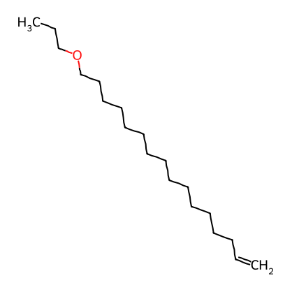 C=CCCCCCCCCCCCCCCOCCC